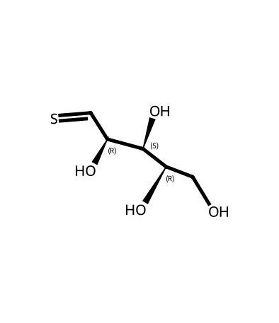 OC[C@@H](O)[C@H](O)[C@@H](O)C=S